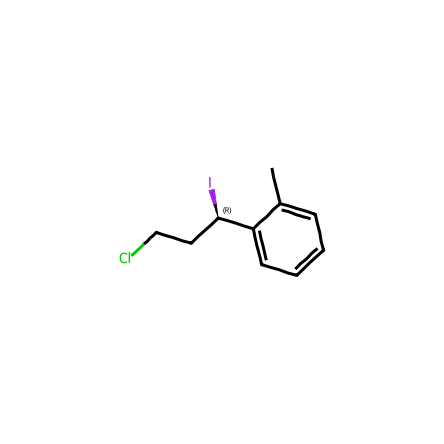 Cc1ccccc1[C@H](I)CCCl